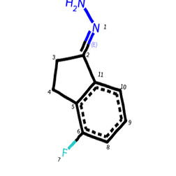 N/N=C1\CCc2c(F)cccc21